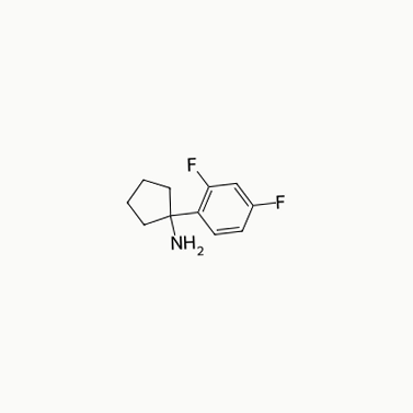 NC1(c2ccc(F)cc2F)CCCC1